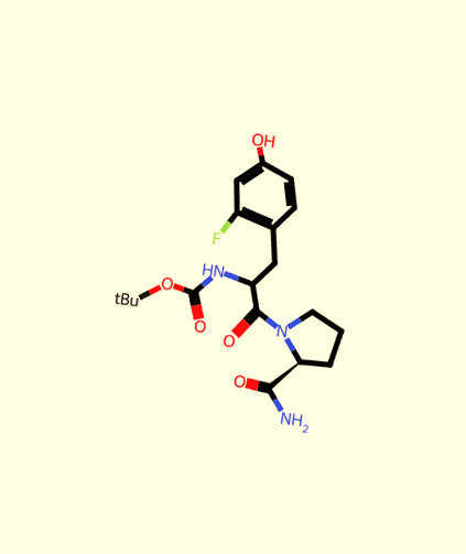 CC(C)(C)OC(=O)NC(Cc1ccc(O)cc1F)C(=O)N1CCC[C@H]1C(N)=O